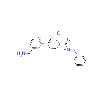 Cl.NCc1ccnc(-c2ccc(C(=O)NCc3ccccc3)cc2)c1